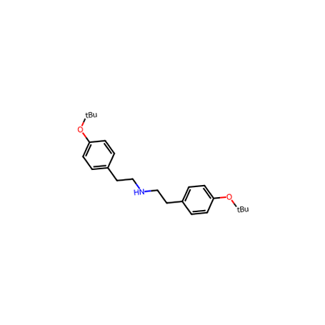 CC(C)(C)Oc1ccc(CCNCCc2ccc(OC(C)(C)C)cc2)cc1